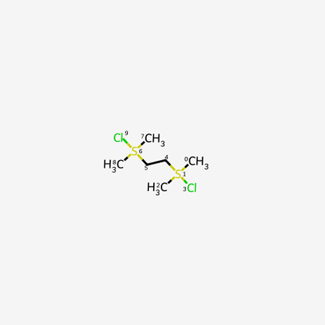 CS(C)(Cl)CCS(C)(C)Cl